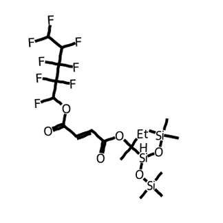 CCC(C)(OC(=O)C=CC(=O)OC(F)C(F)(F)C(F)(F)C(F)C(F)F)[SiH](O[Si](C)(C)C)O[Si](C)(C)C